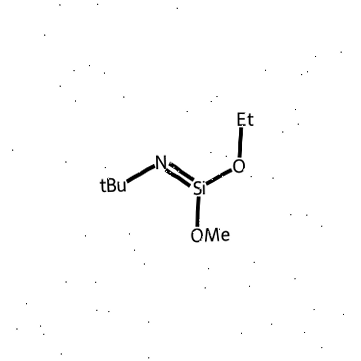 CCO[Si](=NC(C)(C)C)OC